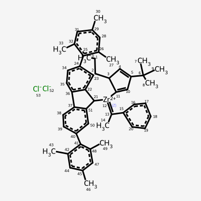 CCCC1C=C(C(C)(C)C)C=[C]1/[Zr+2](=[C](/C)c1ccccc1)[CH]1c2cc(-c3c(C)cc(C)cc3C)ccc2-c2ccc(-c3c(C)cc(C)cc3C)cc21.[Cl-].[Cl-]